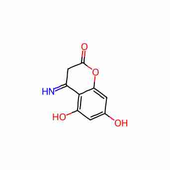 N=C1CC(=O)Oc2cc(O)cc(O)c21